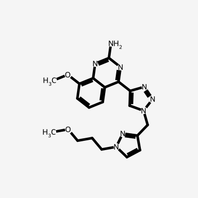 COCCCn1ccc(Cn2cc(-c3nc(N)nc4c(OC)cccc34)nn2)n1